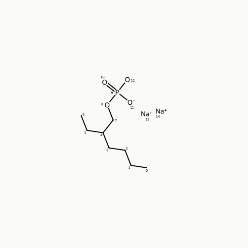 CCCCC(CC)COP(=O)([O-])[O-].[Na+].[Na+]